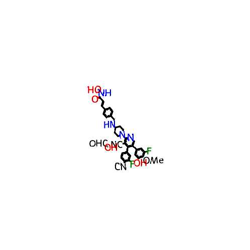 COc1c(O)cc(-c2cnc(N3CCC(NCc4ccc(/C=C/C(=O)NO)cc4)CC3)c(C#N)c2-c2ccc(C#N)c(F)c2)cc1F.O=CO